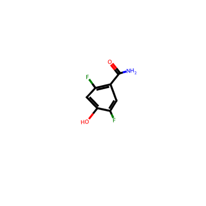 NC(=O)c1cc(F)c(O)cc1F